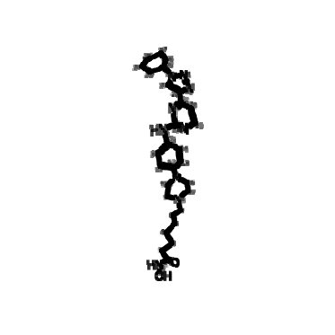 O=C(CCCCCCN1CCN(c2ccc(Nc3nccc(-c4cn(C5CCCCC5)nn4)n3)cc2)CC1)NO